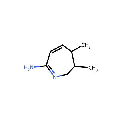 CC1C=CC(N)=NCC1C